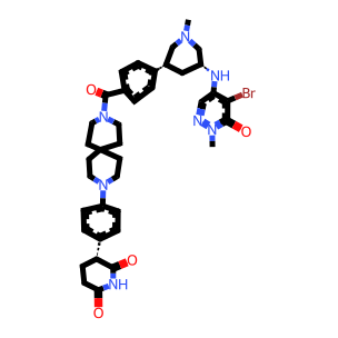 CN1C[C@H](Nc2cnn(C)c(=O)c2Br)C[C@H](c2ccc(C(=O)N3CCC4(CC3)CCN(c3ccc([C@H]5CCC(=O)NC5=O)cc3)CC4)cc2)C1